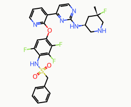 C[C@@]1(F)CNC[C@@H](Nc2nccc(-c3cccnc3Oc3cc(F)c(NS(=O)(=O)Cc4ccccc4)c(F)c3F)n2)C1